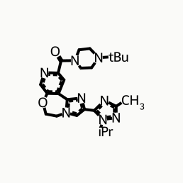 Cc1nc(-c2cn3c(n2)-c2cc(C(=O)N4CCN(C(C)(C)C)CC4)ncc2OCC3)n(C(C)C)n1